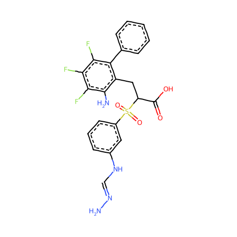 NN=CNc1cccc(S(=O)(=O)C(Cc2c(N)c(F)c(F)c(F)c2-c2ccccc2)C(=O)O)c1